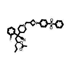 CCC[C@@H](CC(C#N)(c1ccccc1F)C1CCN(CC2CN(c3ccc(S(=O)(=O)c4ccccc4)cc3)C2)CC1)OC(C)=O